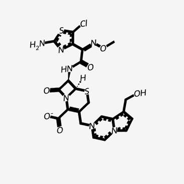 CO/N=C(\C(=O)N[C@@H]1C(=O)N2C(C(=O)[O-])=C(Cn3cc[n+]4ccc(CO)c-4c3)CS[C@H]12)c1nc(N)sc1Cl